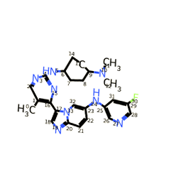 Cc1cnc(NC2CCC(N(C)C)CC2)nc1-c1cnc2ccc(Nc3cncc(F)c3)cn12